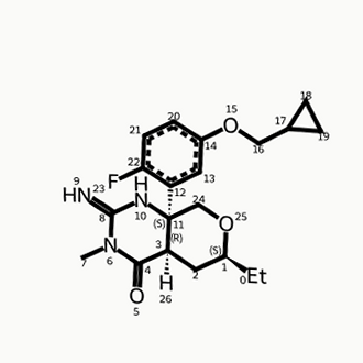 CC[C@H]1C[C@H]2C(=O)N(C)C(=N)N[C@@]2(c2cc(OCC3CC3)ccc2F)CO1